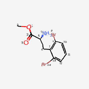 COC(=O)[C@@H](N)Cc1c(Br)cccc1Br